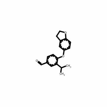 CC(C)c1cc(C=O)ccc1Oc1ccc2c(c1)CCO2